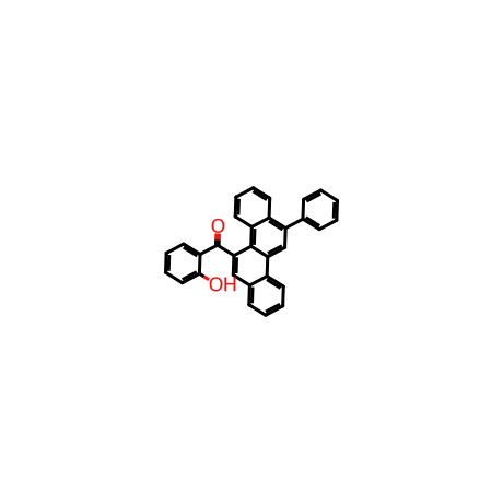 O=C(c1ccccc1O)c1cc2ccccc2c2cc(-c3ccccc3)c3ccccc3c12